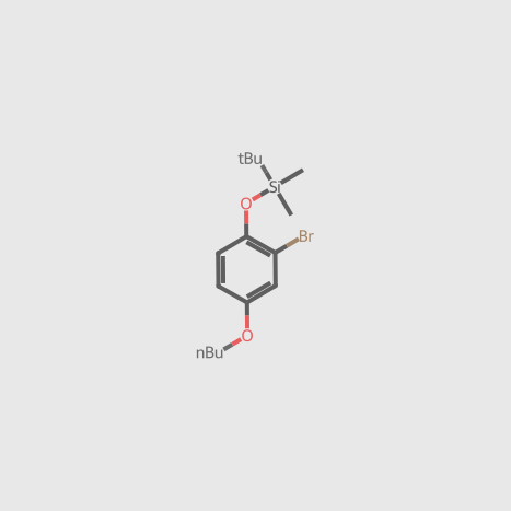 CCCCOc1ccc(O[Si](C)(C)C(C)(C)C)c(Br)c1